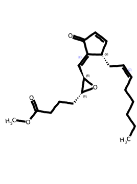 CCCCC/C=C\C[C@H]1C=CC(=O)/C1=C/[C@H]1O[C@@H]1CCCC(=O)OC